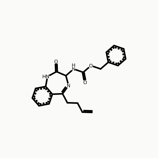 C=CCCC1=NC(NC(=O)OCc2ccccc2)C(=O)Nc2ccccc21